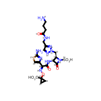 NCCCC(=O)NCc1cnn(C[C@@H]2[C@H](NC(=O)/C(=N\OC3(C(=O)O)CC3)c3csc(N)n3)C(=O)N2S(=O)(=O)O)n1